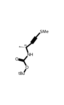 CSC#C[C@@H](C)NC(=O)OC(C)(C)C